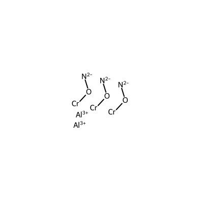 [Al+3].[Al+3].[N-2][O][Cr].[N-2][O][Cr].[N-2][O][Cr]